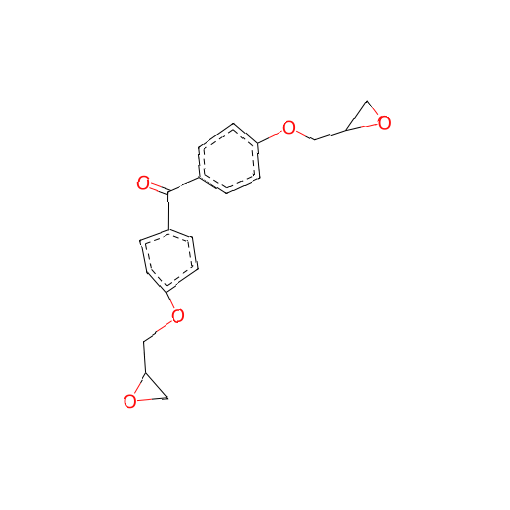 O=C(c1ccc(OCC2CO2)cc1)c1ccc(OCC2CO2)cc1